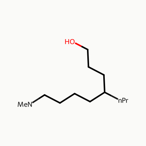 CCCC(CCCO)CCCCNC